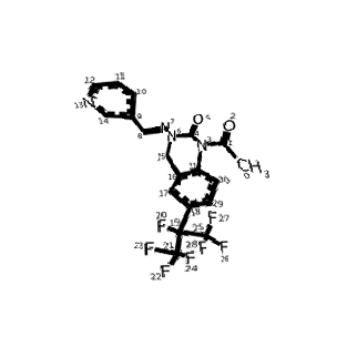 CC(=O)N1C(=O)N(/N=C/c2cccnc2)Cc2cc(C(F)(C(F)(F)F)C(F)(F)F)ccc21